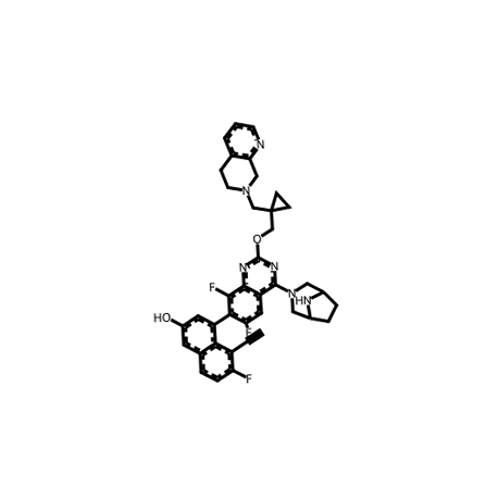 C#Cc1c(F)ccc2cc(O)cc(-c3c(F)cc4c(N5CC6CCC(C5)N6)nc(OCC5(CN6CCc7cccnc7C6)CC5)nc4c3F)c12